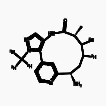 [2H]C1C[C@H](N)c2cc(ccn2)-c2c(cnn2C([2H])([2H])[2H])NC(=O)[C@H](C)C1[2H]